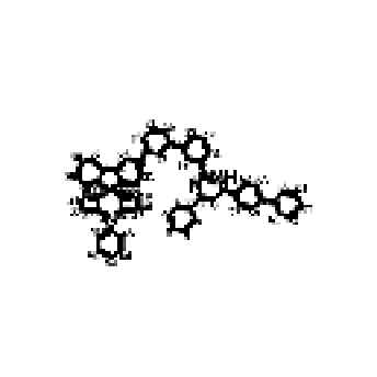 C1=C(c2ccccc2)N=C(c2cccc(-c3cccc(-c4ccc5c(c4)-c4ccccc4C54c5ccccc5N(c5ccccc5)c5ccccc54)c3)c2)NC1c1ccc(-c2ccccc2)cc1